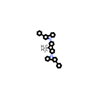 CC1(C)c2cc(-n3c4ccccc4c4cc(-c5ccccc5)ccc43)ccc2-c2ccc(-n3c4ccccc4c4cc(-c5ccccc5)ccc43)cc21